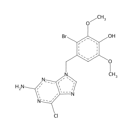 COc1cc(Cn2cnc3c(Cl)nc(N)nc32)c(Br)c(OC)c1O